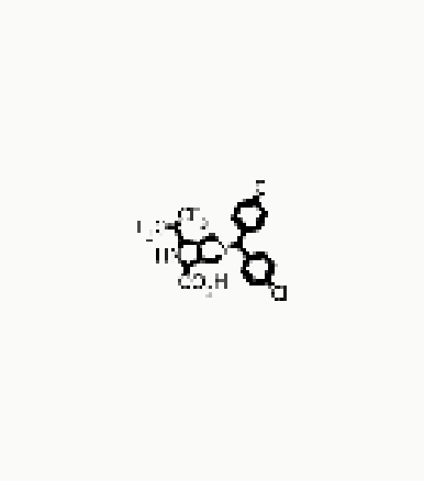 O=C(O)C1NC(C(C(F)(F)F)C(F)(F)F)C2CN(C(c3ccc(Cl)cc3)c3ccc(Cl)cc3)CC12